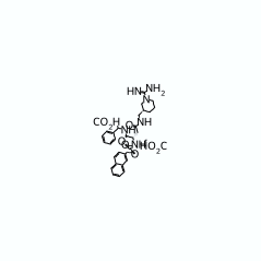 CC(=O)O.N=C(N)N1CCC[C@@H](CNC(=O)C[C@H](NS(=O)(=O)c2ccc3ccccc3c2)C(=O)NC(C(=O)O)c2ccccc2)C1